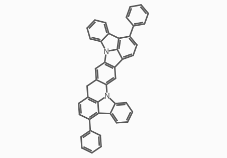 c1ccc(-c2ccc3c4c2c2ccccc2n4-c2cc4c5ccc(-c6ccccc6)c6c7ccccc7n(c4cc2C3)c56)cc1